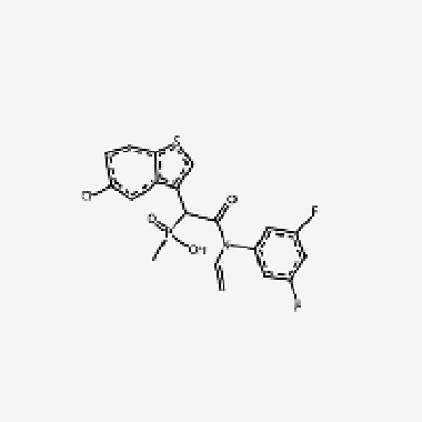 C=CN(C(=O)C(c1csc2ccc(Cl)cc12)P(C)(=O)O)c1cc(F)cc(F)c1